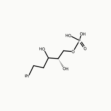 CC(C)CCC(O)[C@@H](O)COP(=O)(O)O